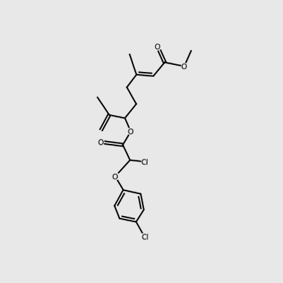 C=C(C)C(CCC(C)=CC(=O)OC)OC(=O)C(Cl)Oc1ccc(Cl)cc1